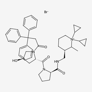 CC1[C@@H](CNC(=O)[C@H]2CCCN2C(=O)[C@@H]2C[C@@H](O)CN2C(=O)CC(c2ccccc2)(c2ccccc2)c2ccccc2)CCC[N+]1(C1CC1)C1CC1.[Br-]